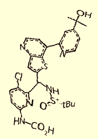 CC(C)(O)c1ccnc(-c2ccnc3cc(C(N[S@@+]([O-])C(C)(C)C)c4nc(NC(=O)O)ccc4Cl)sc23)c1